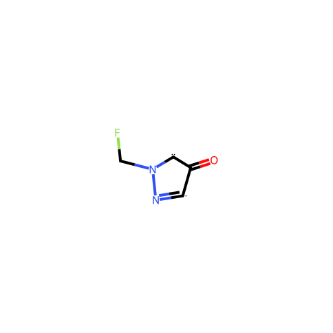 O=C1[C]N(CF)N=[C]1